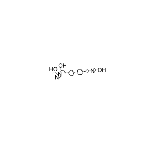 C[C@H](O)c1nccn1[C@@H](/C=C/c1ccc(-c2ccc(C3CC(N4CC(O)C4)C3)cc2)cc1)CO